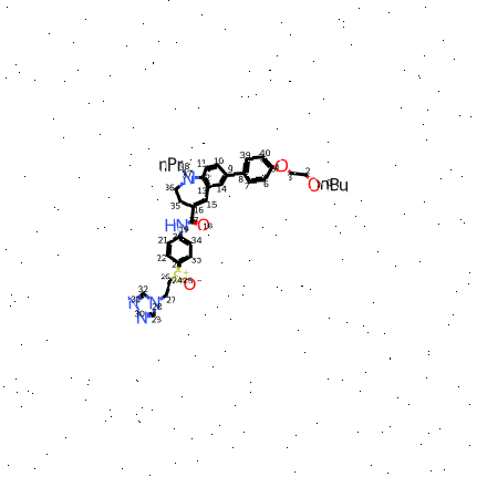 CCCCOCCOc1ccc(-c2ccc3c(c2)C=C(C(=O)Nc2ccc([S+]([O-])CCn4cnnc4)cc2)CCN3CCC)cc1